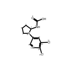 O=C(O)NC1CCCN1c1cnc(Cl)c(Cl)c1